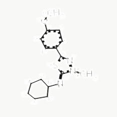 COc1ccc(-c2nn(C)c(=NC3CCCCC3)s2)cc1